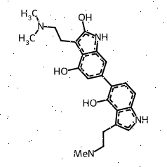 CNCCc1c[nH]c2ccc(-c3cc(O)c4c(CCN(C)C)c(O)[nH]c4c3)c(O)c12